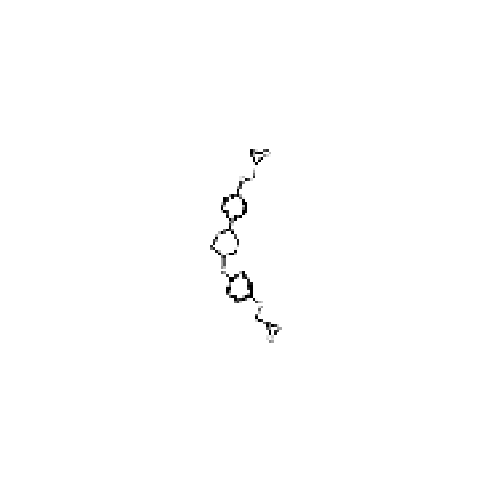 c1cc(OC2CCC(c3ccc(OCC4CO4)cc3)CC2)ccc1OCC1CO1